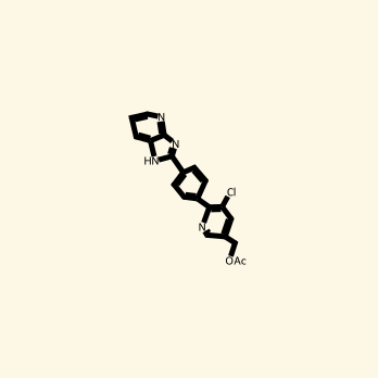 CC(=O)OCc1cnc(-c2ccc(-c3nc4ncccc4[nH]3)cc2)c(Cl)c1